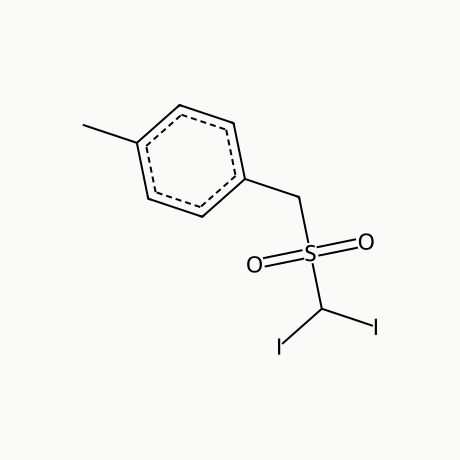 Cc1ccc(CS(=O)(=O)C(I)I)cc1